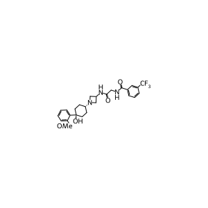 COc1ccccc1[C@]1(O)CC[C@H](N2CC(NC(=O)CNC(=O)c3cccc(C(F)(F)F)c3)C2)CC1